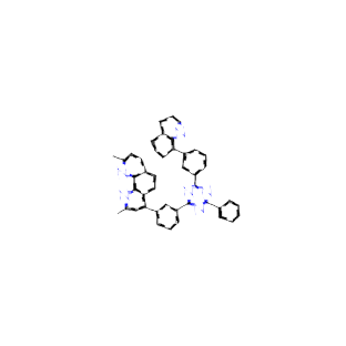 Cc1ccc2ccc3c(-c4cccc(-c5nc(-c6ccccc6)nc(-c6cccc(-c7cccc8cccnc78)c6)n5)c4)cc(C)nc3c2n1